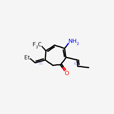 C/C=C/C1=C(N)C=C(C(F)(F)F)/C(=C\CC)CC1=O